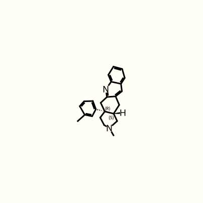 Cc1cccc([C@@]23CCN(C)C[C@H]2Cc2cc4ccccc4nc2C3)c1